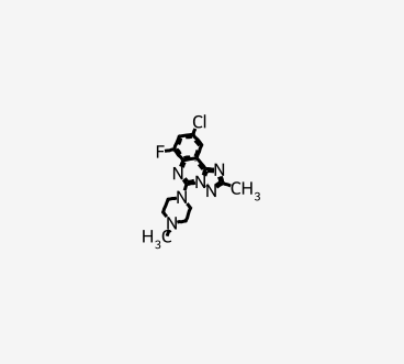 Cc1nc2c3cc(Cl)cc(F)c3nc(N3CCN(C)CC3)n2n1